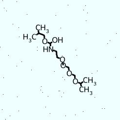 CC(C)COC(O)NCCOOCOCOC(C)C